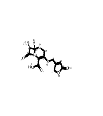 N[C@@H]1C(=O)N2C(C(=O)O)=C(SCC3=CC(=O)OC3)CS[C@@H]12